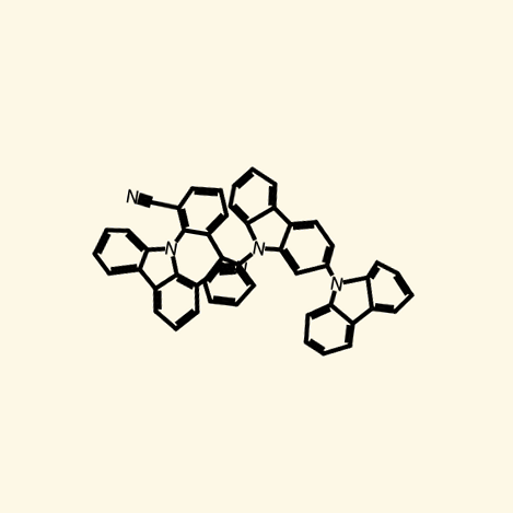 N#Cc1cccc(-c2ccccc2-n2c3ccccc3c3ccc(-n4c5ccccc5c5ccccc54)cc32)c1-n1c2ccccc2c2cccc(C#N)c21